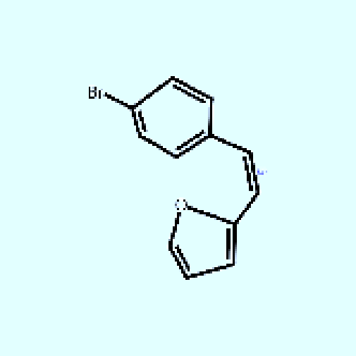 Brc1ccc(/C=C\c2ccco2)cc1